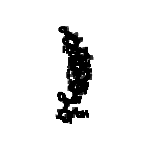 C[C@]12CC[C@H](NC(=O)N3CCNC[C@@H]3CO)C[C@H]1CC[C@@H]1[C@@H]2CC[C@]2(C)[C@@H](c3ccc(=O)oc3)CC[C@]12O